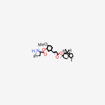 COc1ccc(/C=C/C(=O)O[C@]2(C)CC[C@@]34C[C@@H]2C(C)(C)[C@@H]3CC[C@H]4C)cc1OC(=O)[C@@H](N)CC(C)C